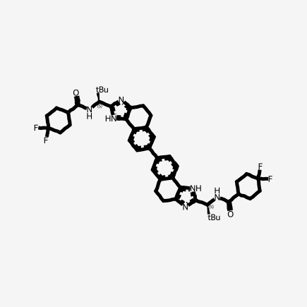 CC(C)(C)[C@H](NC(=O)C1CCC(F)(F)CC1)c1nc2c([nH]1)-c1ccc(-c3ccc4c(c3)CCc3nc([C@@H](NC(=O)C5CCC(F)(F)CC5)C(C)(C)C)[nH]c3-4)cc1CC2